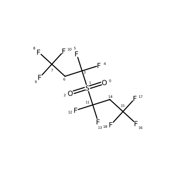 O=S(=O)(C(F)(F)CC(F)(F)F)C(F)(F)CC(F)(F)F